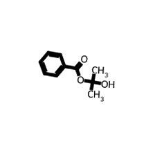 CC(C)(O)OC(=O)c1ccccc1